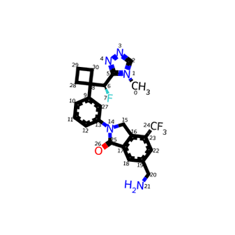 Cn1cnnc1[C@@H](F)C1(c2cccc(N3Cc4c(cc(CN)cc4C(F)(F)F)C3=O)c2)CCC1